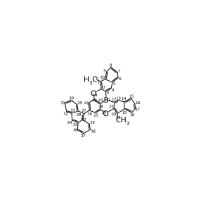 Cc1c2c(cc3ccccc13)B1c3cc4ccccc4c(C)c3Oc3cc(-c4c5ccccc5cc5ccccc45)cc(c31)O2